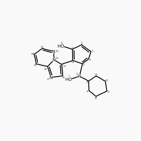 Oc1cccc(N(O)C2CCCCC2)c1-c1cnc2cccnn12